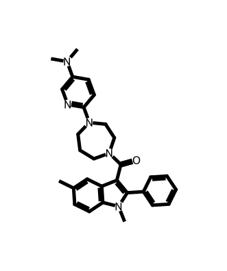 Cc1ccc2c(c1)c(C(=O)N1CCCN(c3ccc(N(C)C)cn3)CC1)c(-c1ccccc1)n2C